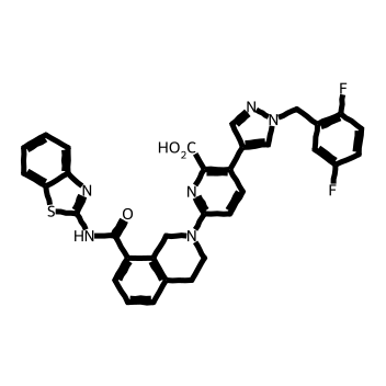 O=C(Nc1nc2ccccc2s1)c1cccc2c1CN(c1ccc(-c3cnn(Cc4cc(F)ccc4F)c3)c(C(=O)O)n1)CC2